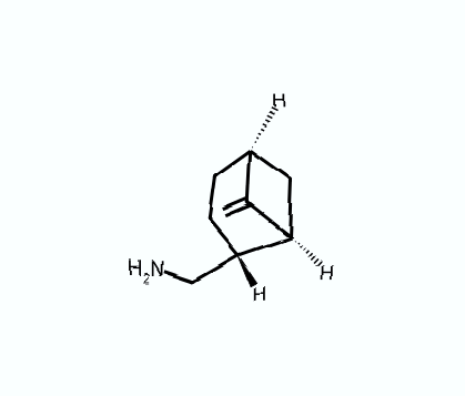 C=C1[C@H]2CC[C@@H](CN)[C@@H]1C2